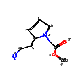 CC(C)(C)OC(=O)N1CC=CC1CCN